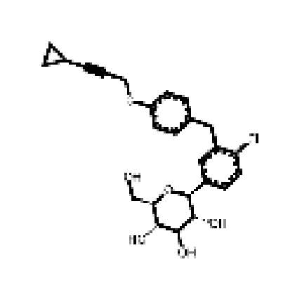 OC[C@H]1O[C@@H](c2ccc(Cl)c(Cc3ccc(OCC#CC4CC4)cc3)c2)[C@H](O)[C@@H](O)[C@@H]1O